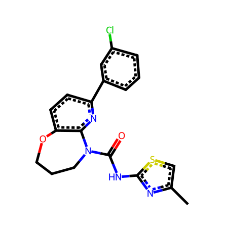 Cc1csc(NC(=O)N2CCCOc3ccc(-c4cccc(Cl)c4)nc32)n1